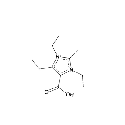 CCc1c(C(=O)O)n(CC)c(C)[n+]1CC